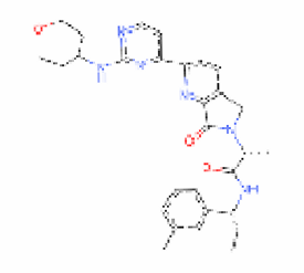 CC[C@@H](NC(=O)[C@@H](C)N1Cc2ccc(-c3ccnc(NC4CCOCC4)n3)nc2C1=O)c1cccc(C)c1